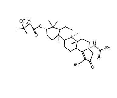 CC(C)C(=O)N[C@@]12CC[C@]3(C)C(CCC4[C@@]5(C)CC[C@H](OC(=O)CC(C)(C)C(=O)O)C(C)(C)C5CC[C@]43C)C1=C(C(C)C)C(=O)C2